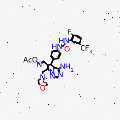 CC(=O)O/N=C/C1=C(CN2CCOCC2)N2N=CN=C(N)C2C1c1ccc(NC(=O)Nc2cc(C(F)(F)F)ccc2F)cc1